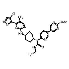 COc1ncc(-c2ccc(N(C(=O)NCC(F)(F)F)[C@H]3CC[C@H](Nc4ncc(C(F)(F)F)c(-c5n[nH]cc5Cl)n4)CC3)nc2)cn1